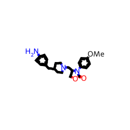 COc1ccc(N2C(=O)OCC2CN2CCC(Cc3ccc(N)cc3)CC2)cc1